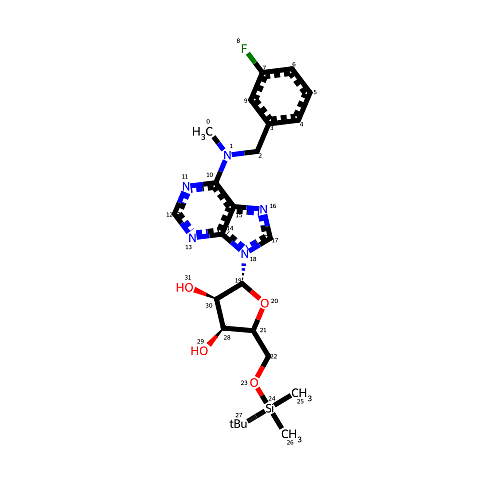 CN(Cc1cccc(F)c1)c1ncnc2c1ncn2[C@@H]1OC(CO[Si](C)(C)C(C)(C)C)[C@@H](O)[C@H]1O